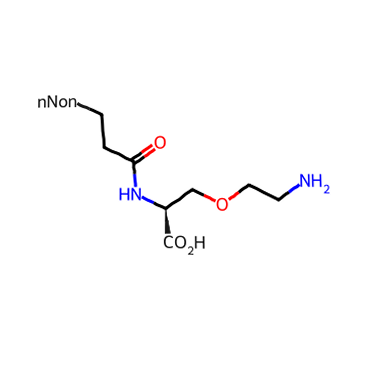 CCCCCCCCCCCC(=O)N[C@@H](COCCN)C(=O)O